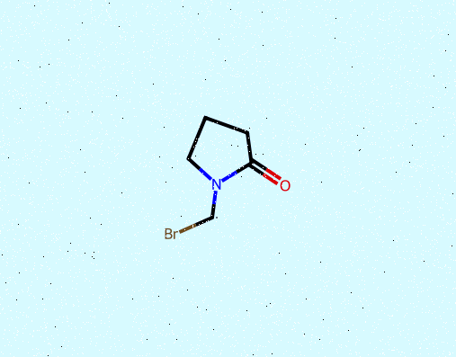 O=C1CCCN1[CH]Br